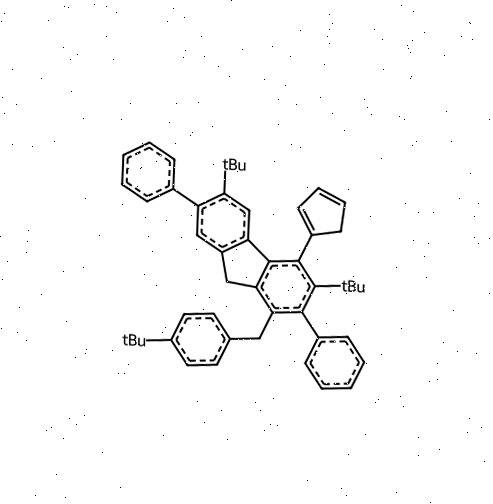 CC(C)(C)c1ccc(Cc2c3c(c(C4=CC=CC4)c(C(C)(C)C)c2-c2ccccc2)-c2cc(C(C)(C)C)c(-c4ccccc4)cc2C3)cc1